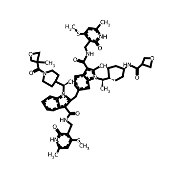 CSc1cc(C)[nH]c(=O)c1CNC(=O)c1c(Cc2ccc3c(C(=O)NCc4c(SC)cc(C)[nH]c4=O)c(C)n([C@H](C)[C@H]4CC[C@H](NC(=O)C5COC5)CC4)c3c2)n([C@H](C)C2CCN(C(=O)C3(C)COC3)CC2)c2ccccc12